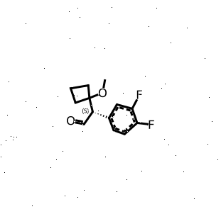 COC1([C@@H](C=O)c2ccc(F)c(F)c2)CCC1